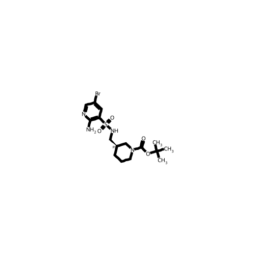 CC(C)(C)OC(=O)N1CCC[C@@H](CNS(=O)(=O)c2cc(Br)cnc2N)C1